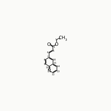 CCOC(=O)C=Cc1ccc2ncccc2c1